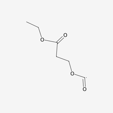 CCOC(=O)CCO[C]=O